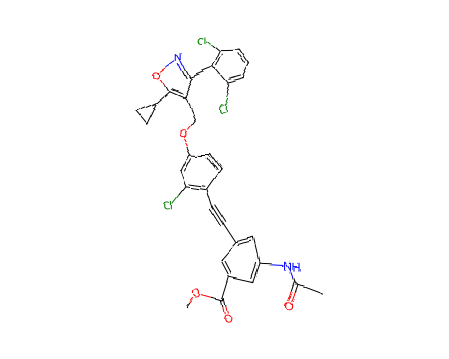 COC(=O)c1cc(C#Cc2ccc(OCc3c(-c4c(Cl)cccc4Cl)noc3C3CC3)cc2Cl)cc(NC(C)=O)c1